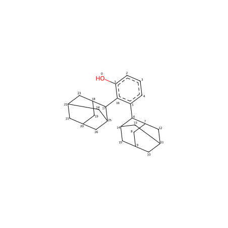 Oc1cccc(C2C3CC4CC(C3)CC2C4)c1C1C2CC3CC(C2)CC1C3